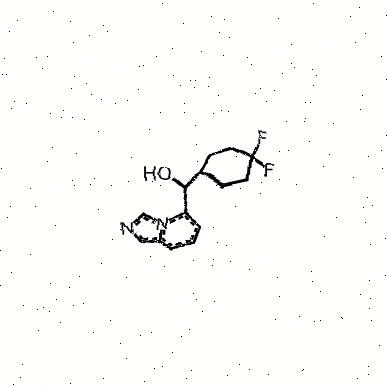 OC(c1cccc2cncn12)C1CCC(F)(F)CC1